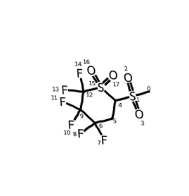 CS(=O)(=O)C1CC(F)(F)C(F)(F)C(F)(F)S1(=O)=O